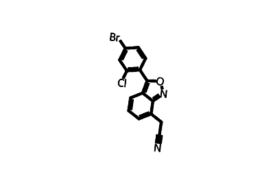 N#CCc1cccc2c(-c3ccc(Br)cc3Cl)onc12